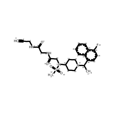 C#CCNC(=O)CNC(=O)CN(C1CCN(C(C)c2ccc(F)c3ccccc23)CC1)S(C)(=O)=O